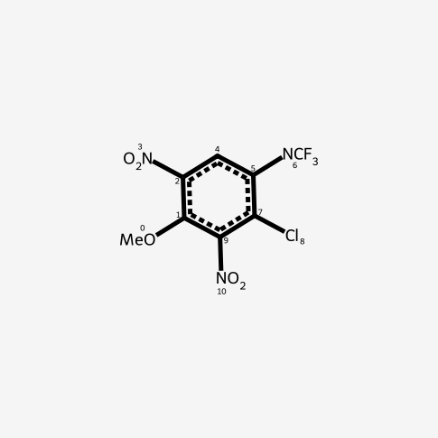 COc1c([N+](=O)[O-])cc(NC(F)(F)F)c(Cl)c1[N+](=O)[O-]